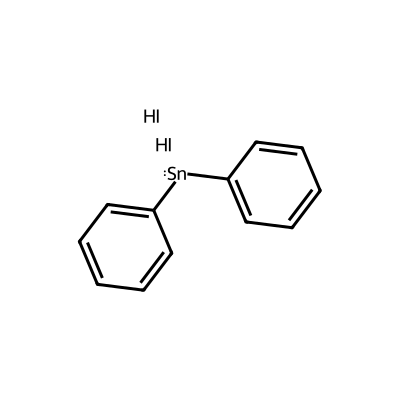 I.I.c1cc[c]([Sn][c]2ccccc2)cc1